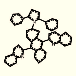 c1ccc(-c2ccc(-c3ccccc3)n2-c2ccc3c(-c4ccc5ccccc5n4)c4ccccc4c(-c4ccc5ccccc5n4)c3c2)cc1